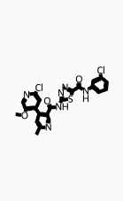 COc1cnc(Cl)cc1-c1cc(C)ncc1C(=O)Nc1nnc(C(=O)Nc2cccc(Cl)c2)s1